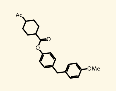 COc1ccc(Cc2ccc(OC(=O)C3CCC(C(C)=O)CC3)cc2)cc1